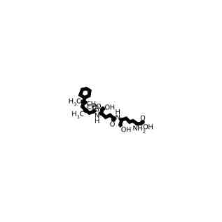 CC(C)(CC(=O)NC(CCC(=O)NC(CO)CCCC(N)C(=O)O)C(=O)O)CC(C)(C)C1CCCCC1